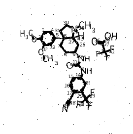 COc1ccc([C@]23CC[C@H](NC(=O)Nc4ccc(C#N)c(C(F)(F)F)c4)C[C@H]2N(C)CC3)cc1OC.O=C(O)C(F)(F)F